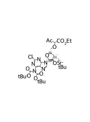 CCOC(=O)C(OC[C@H]1O[C@@H](n2cnc3c(N(C(=O)OC(C)(C)C)C(=O)OC(C)(C)C)nc(Cl)nc32)[C@H](O[Si](C)(C)C(C)(C)C)[C@H]1C)C(C)=O